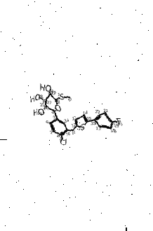 CS[C@H]1OC(c2ccc(Cl)c(Cc3ccc(-c4ccc(F)cc4)s3)c2)[C@H](O)[C@@H](O)[C@@H]1O